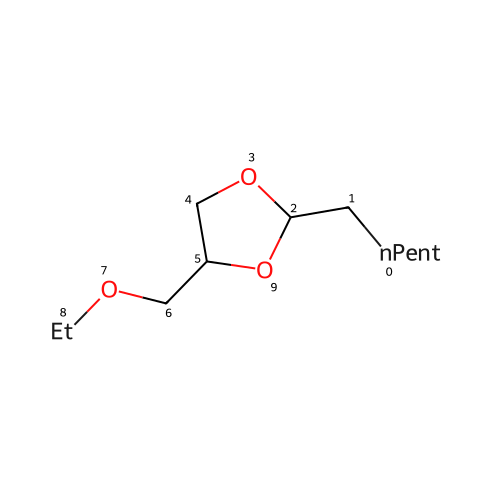 CCCCCCC1OCC(COCC)O1